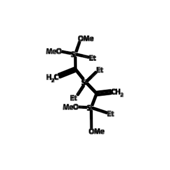 C=C([Si](CC)(OC)OC)[Si](CC)(CC)C(=C)[Si](CC)(OC)OC